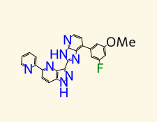 COc1cc(F)cc(-c2ccnc3[nH]c(-c4n[nH]c5ccc(-c6ccccn6)nc45)nc23)c1